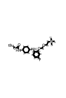 CC(C)(C)OC(=O)N[C@H]1CC[C@@H](Nc2ccc(F)cc2OCOCC[Si](C)(C)C)CC1